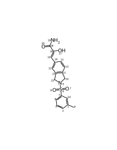 Cc1cccc(S(=O)(=O)N2Cc3ccc(/C=C(\O)C(N)=O)cc3C2)c1